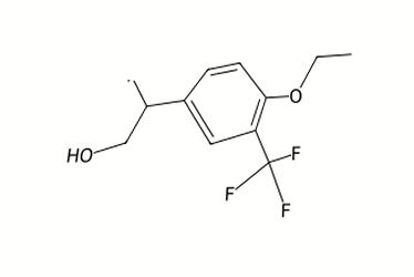 [CH2]C(CO)c1ccc(OCC)c(C(F)(F)F)c1